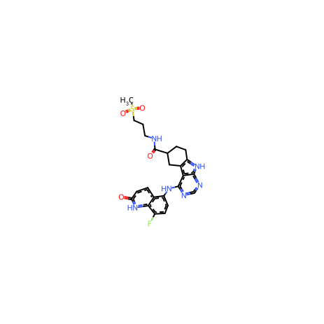 CS(=O)(=O)CCCNC(=O)C1CCc2[nH]c3ncnc(Nc4ccc(F)c5[nH]c(=O)ccc45)c3c2C1